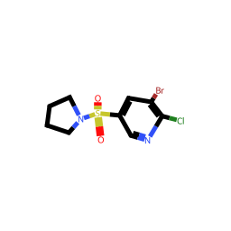 O=S(=O)(c1cnc(Cl)c(Br)c1)N1CCCC1